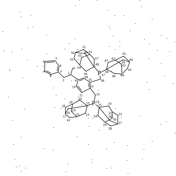 CC(Cc1ccccc1)c1ccc(CP(C23CC4CC(CC(C4)C2)C3)C23CC4CC(CC(C4)C2)C3)c(CP(C23CC4CC(CC(C4)C2)C3)C23CC4CC(CC(C4)C2)C3)c1